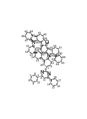 C1=C(c2nc(-c3ccccc3)cc(-c3ccccc3)n2)C=C(c2ccccc2)C(n2c3ccccc3c3c4oc5ccc6c7ccccc7n(-c7ccccc7)c6c5c4ccc32)C1c1ccccc1